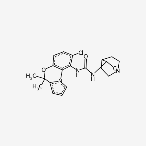 CC1(C)Oc2ccc(Cl)c(NC(=O)NC3CN4CCC3CC4)c2-n2cccc21